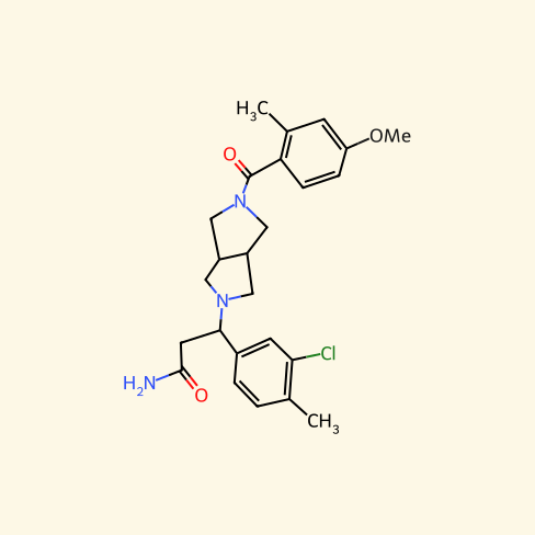 COc1ccc(C(=O)N2CC3CN(C(CC(N)=O)c4ccc(C)c(Cl)c4)CC3C2)c(C)c1